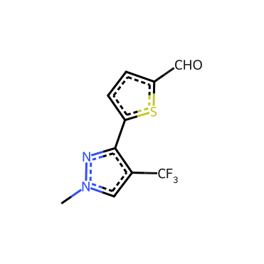 Cn1cc(C(F)(F)F)c(-c2ccc(C=O)s2)n1